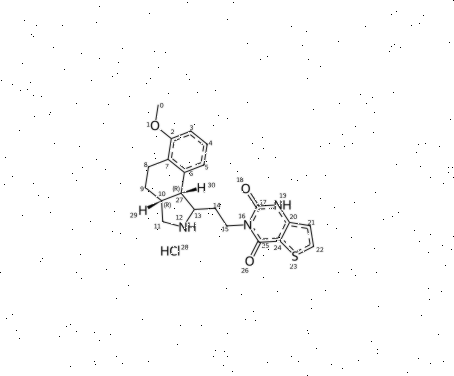 COc1cccc2c1CC[C@H]1CNC(CCn3c(=O)[nH]c4ccsc4c3=O)[C@@H]21.Cl